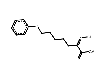 COC(=O)C(CCCCCOc1ccccc1)=NO